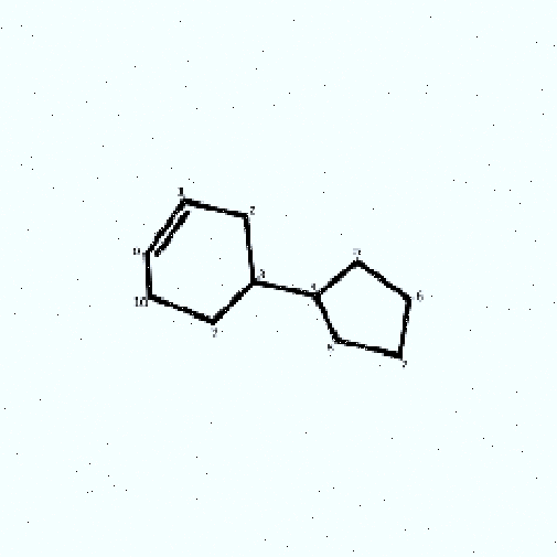 C1=CCC(C2CCCC2)CC1